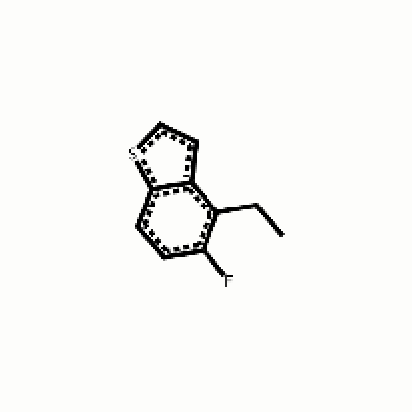 CCc1c(F)ccc2sccc12